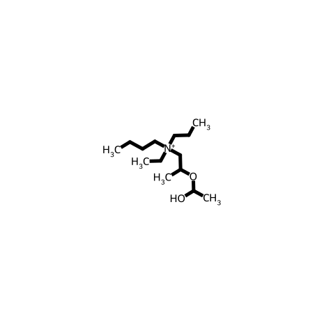 CCCC[N+](CC)(CCC)CC(C)OC(C)O